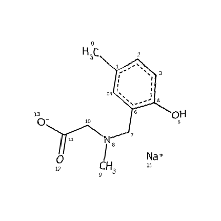 Cc1ccc(O)c(CN(C)CC(=O)[O-])c1.[Na+]